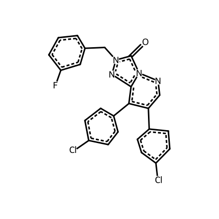 O=c1n(Cc2cccc(F)c2)nc2c(-c3ccc(Cl)cc3)c(-c3ccc(Cl)cc3)cnn12